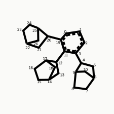 [c]1ccc(C2CC3CCC2C3)c(C2CC3CCC2C3)c1C1CC2CCC1C2